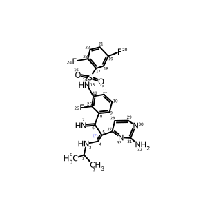 CC(C)N/C=C(\C(=N)c1cccc(NS(=O)(=O)c2cc(F)ccc2F)c1F)c1ccnc(N)n1